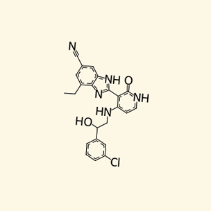 CCc1cc(C#N)cc2[nH]c(-c3c(NCC(O)c4cccc(Cl)c4)cc[nH]c3=O)nc12